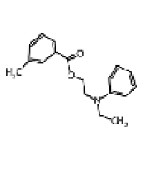 CCN(CCOC(=O)c1cccc(C)c1)c1ccccc1